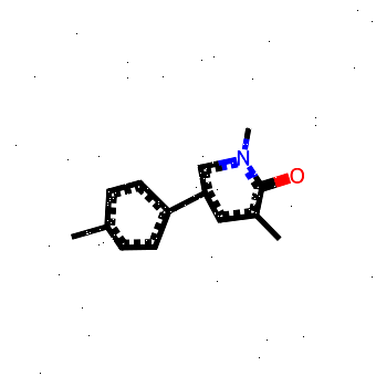 Cc1ccc(-c2cc(C)c(=O)n(C)c2)cc1